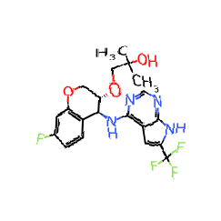 CC(C)(O)CO[C@H]1COc2cc(F)ccc2[C@@H]1Nc1ncnc2[nH]c(C(F)(F)F)cc12